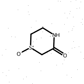 O=C1C[S+]([O-])C[CH]N1